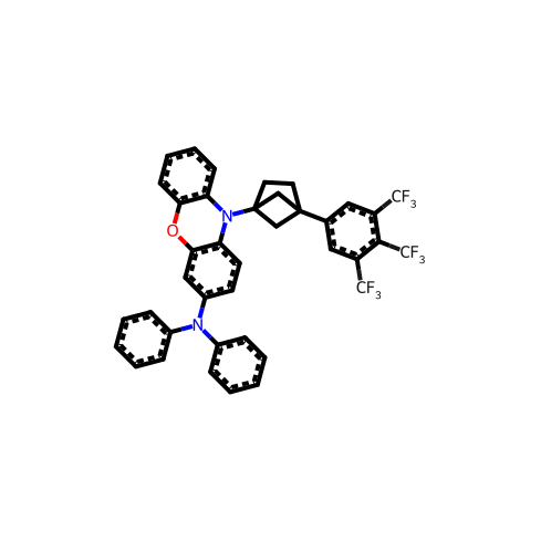 FC(F)(F)c1cc(C23CCC(N4c5ccccc5Oc5cc(N(c6ccccc6)c6ccccc6)ccc54)(C2)C3)cc(C(F)(F)F)c1C(F)(F)F